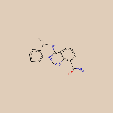 C[C@H](Nc1ncnc2c(C(N)=O)cccc12)c1ccccc1